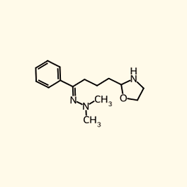 CN(C)/N=C(\CCCC1NCCO1)c1ccccc1